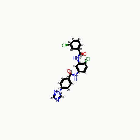 O=C(Nc1ccc(Cl)c(NC(=O)c2cccc(Cl)c2)c1)c1ccc(-n2cncn2)cc1